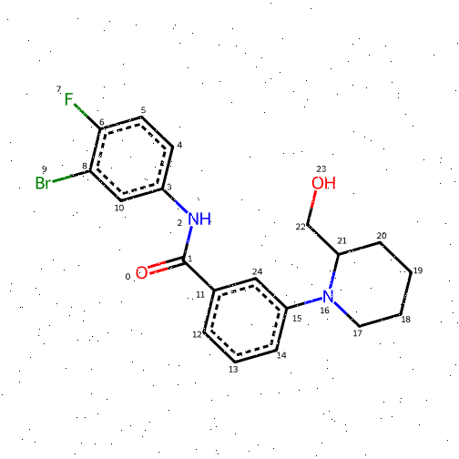 O=C(Nc1ccc(F)c(Br)c1)c1cccc(N2CCCCC2CO)c1